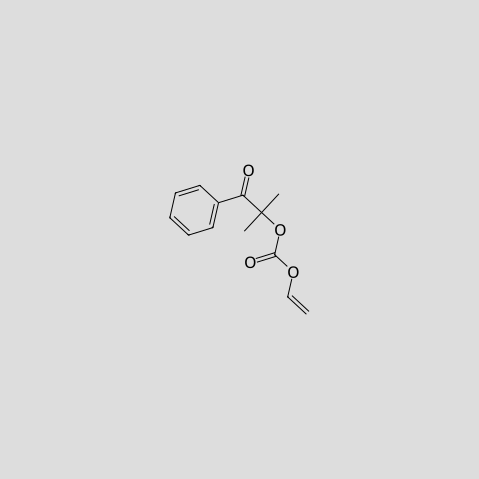 C=COC(=O)OC(C)(C)C(=O)c1ccccc1